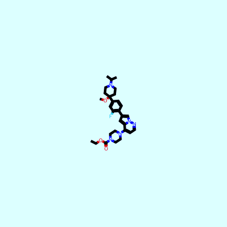 CCOC(=O)N1CCN(c2ccnn3cc(-c4ccc(C5(OC)CCN(C(C)C)CC5)cc4F)cc23)CC1